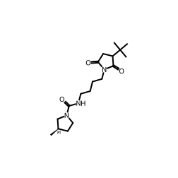 C[C@@H]1CCN(C(=O)NCCCCN2C(=O)CC(C(C)(C)C)C2=O)C1